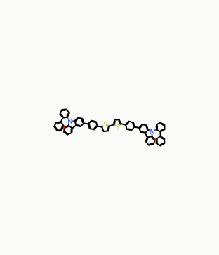 C1=C(c2ccc(-c3ccc(-c4ccc5c(c4)c4ccccc4n5-c4ccccc4-c4ccccc4)cc3)s2)SC(c2ccc(-c3ccc4c(c3)c3ccccc3n4-c3ccccc3-c3ccccc3)cc2)C1